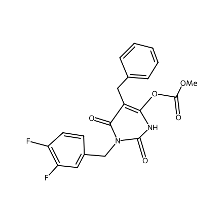 COC(=O)Oc1[nH]c(=O)n(Cc2ccc(F)c(F)c2)c(=O)c1Cc1ccccc1